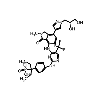 CCC(CC)(c1ccc(Nc2ncc(C(F)(F)F)c(Nc3ccc(-c4cnn(C[C@H](O)CO)c4)c4c3C(=O)N(C)C4)n2)cc1)P(=O)(O)O